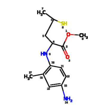 COC(=O)C(CC(C)S)Nc1ccc(N)cc1C